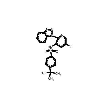 CC(C)(C)c1ccc(S(=O)(=O)Nc2cc(Cl)cnc2-n2nnc3ccccc32)cc1